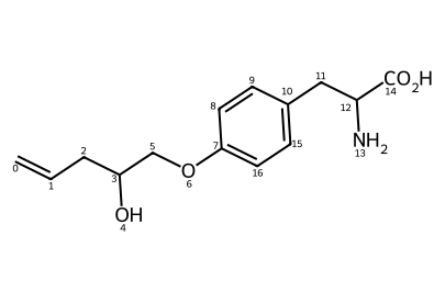 C=CCC(O)COc1ccc(CC(N)C(=O)O)cc1